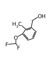 Cc1c([CH]O)cccc1OC(F)F